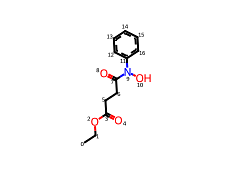 CCOC(=O)CCC(=O)N(O)c1ccccc1